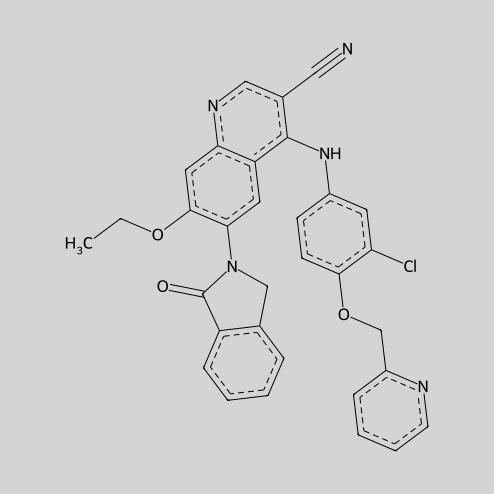 CCOc1cc2ncc(C#N)c(Nc3ccc(OCc4ccccn4)c(Cl)c3)c2cc1N1Cc2ccccc2C1=O